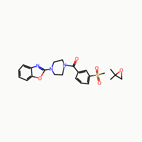 CC1(C)CO1.CS(=O)(=O)c1cccc(C(=O)N2CCN(c3nc4ccccc4o3)CC2)c1